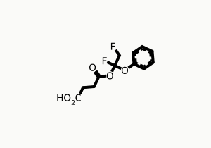 O=C(O)CCC(=O)OC(F)(CF)Oc1ccccc1